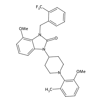 COc1cccc(C)c1N1CCC(n2c(=O)n(Cc3ccccc3C(F)(F)F)c3c(OC)cccc32)CC1